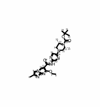 CCOc1nc2nc(C)cn2cc1C(=O)Nc1cnc(N2C[C@@H](C)N(C(=O)OC(C)(C)C)[C@@H](C)C2)cn1